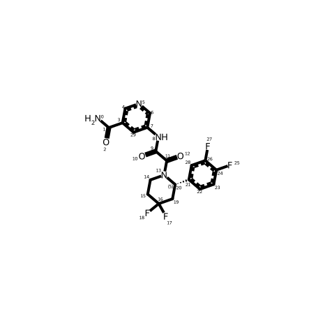 NC(=O)c1cncc(NC(=O)C(=O)N2CCC(F)(F)C[C@H]2c2ccc(F)c(F)c2)c1